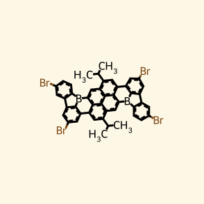 CC(C)c1cc2c3c(cc4c(C(C)C)cc5c6c(cc1c3c46)B1c3ccc(Br)cc3-c3cc(Br)cc-5c31)B1c3ccc(Br)cc3-c3cc(Br)cc-2c31